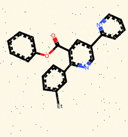 CCc1cccc(-c2ncc(-c3ccccn3)cc2C(=O)Oc2ccccc2)c1